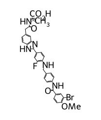 COc1ccc(C(=O)Nc2ccc(CNc3ccc(-c4nc5cc(CC(=O)N[C@@H](C)C(=O)O)ccc5[nH]4)cc3F)cc2)cc1Br